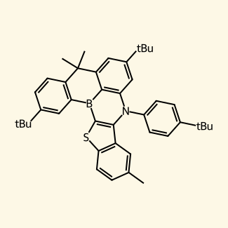 Cc1ccc2sc3c(c2c1)N(c1ccc(C(C)(C)C)cc1)c1cc(C(C)(C)C)cc2c1B3c1cc(C(C)(C)C)ccc1C2(C)C